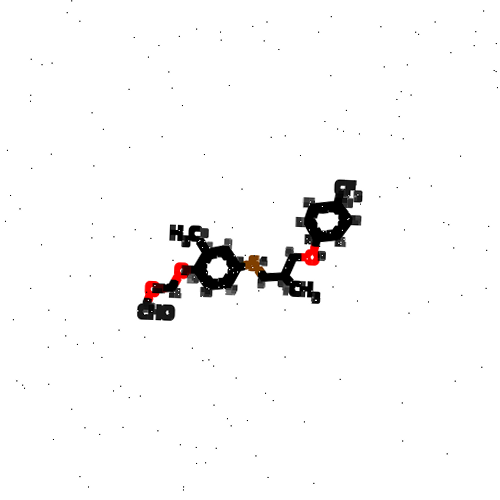 Cc1cc(SCC(C)COc2ccc(C(F)(F)F)cc2)ccc1OCOC=O